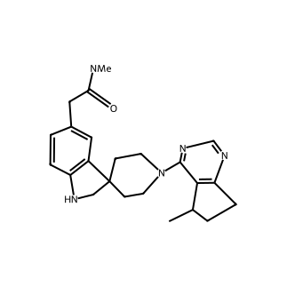 CNC(=O)Cc1ccc2c(c1)C1(CCN(c3ncnc4c3C(C)CC4)CC1)CN2